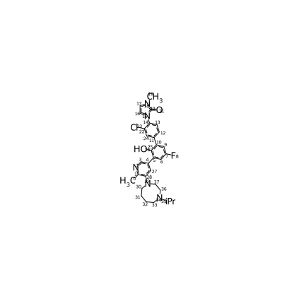 Cc1ncc(-c2cc(F)cc(-c3ccc(-n4ccn(C)c4=O)c(Cl)c3)c2O)cc1N1CCCCN(C(C)C)CC1